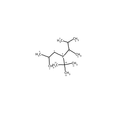 CC(C)CP(C(C)C(C)C)C(C)(C)C